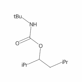 CC(C)CC(OC(=O)NC(C)(C)C)C(C)C